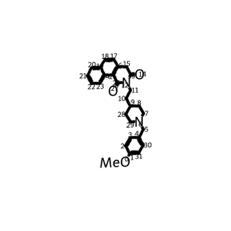 COc1ccc(CN2CCC(CCN3C(=O)Cc4ccc5ccccc5c4C3=O)CC2)cc1